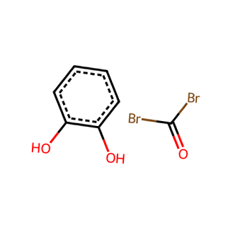 O=C(Br)Br.Oc1ccccc1O